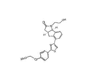 COCOc1ccc(-c2nc(-c3cccc4c3C[C@H]3CC(=O)N(CCO)[C@@H]43)no2)cc1